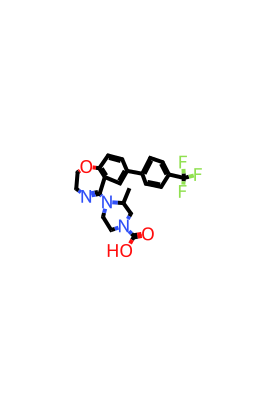 CC1CN(C(=O)O)CCN1C1=NCCOc2ccc(-c3ccc(C(F)(F)F)cc3)cc21